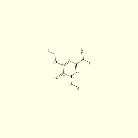 CCOc1cc(C(C)=O)cn(CC)c1=O